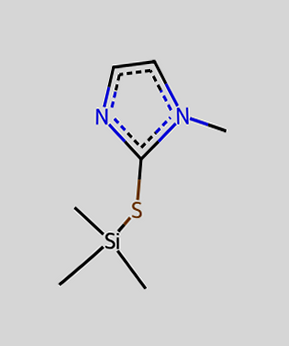 Cn1ccnc1S[Si](C)(C)C